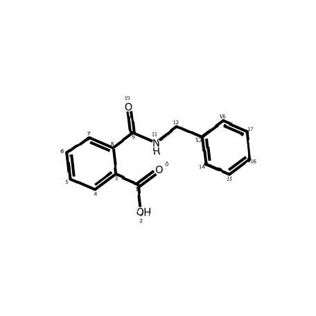 O=C(O)c1ccccc1C(=O)NCc1cc[c]cc1